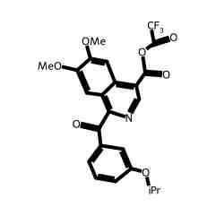 COc1cc2c(C(=O)OC(=O)C(F)(F)F)cnc(C(=O)c3cccc(OC(C)C)c3)c2cc1OC